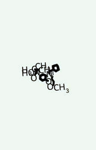 CC(=O)CC1CN(Cc2ccccc2)c2cc(N(C(=O)O)C(C)(C)C)ccc2O1